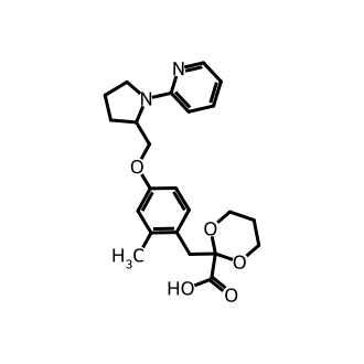 Cc1cc(OCC2CCCN2c2ccccn2)ccc1CC1(C(=O)O)OCCCO1